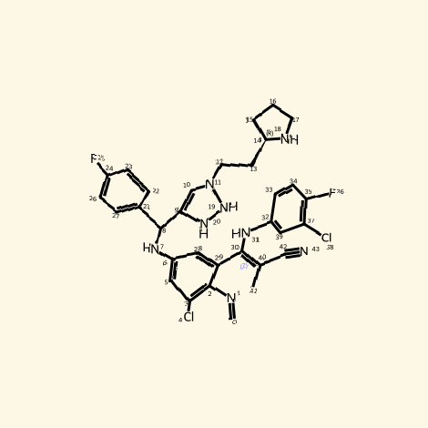 C=Nc1c(Cl)cc(NC(C2=CN(CC[C@H]3CCCN3)NN2)c2ccc(F)cc2)cc1/C(Nc1ccc(F)c(Cl)c1)=C(\C)C#N